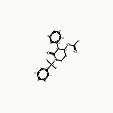 CC(=O)OC1CCN(C(C)(C)c2ccccc2)C(=O)C1c1ccccc1